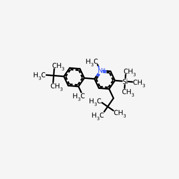 Cc1cc(C(C)(C)C)ccc1-c1cc(CC(C)(C)C)c([Si](C)(C)C)c[n+]1C